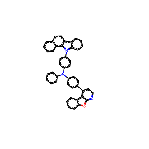 c1ccc(N(c2ccc(-c3ccnc4oc5ccccc5c34)cc2)c2ccc(-n3c4ccccc4c4ccc5ccccc5c43)cc2)cc1